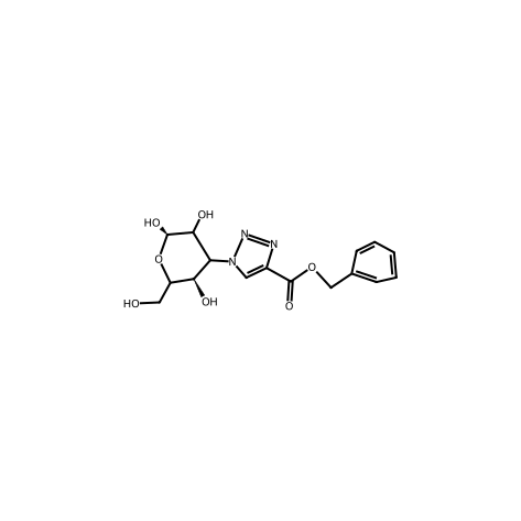 O=C(OCc1ccccc1)c1cn(C2C(O)[C@H](O)OC(CO)[C@@H]2O)nn1